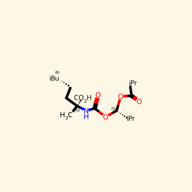 CC[C@@H](C)CC[C@](C)(NC(=O)O[C@H](OC(=O)C(C)C)C(C)C)C(=O)O